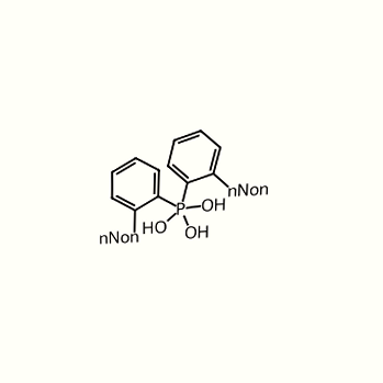 CCCCCCCCCc1ccccc1P(O)(O)(O)c1ccccc1CCCCCCCCC